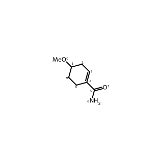 COC1CC=C(C(N)=O)CC1